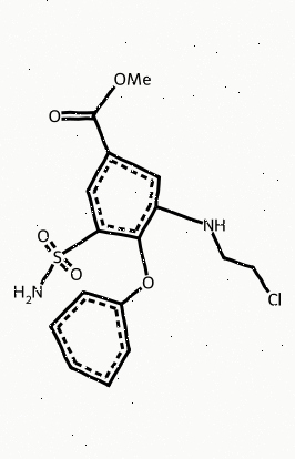 COC(=O)c1cc(NCCCl)c(Oc2ccccc2)c(S(N)(=O)=O)c1